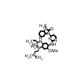 C=CC(O)Nc1cc(Nc2nccc(-n3c(=O)n(C)c4ccccc43)n2)c(OC)cc1N(C)CCN(C)C